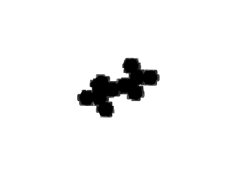 C1=CCC(C2C=C(C3=CCCC=C3)C=C(N3C4=CC=C(C5=CCC6C(=C5)C5=C(CCCC5)N6C5=CC(c6ccccc6)=CC(c6ccccc6)C5)CC4C4=C3[C@@H]3C[C@H]3C=C4)C2)C=C1